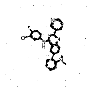 CN(C)c1ccccc1-c1ccc2nc(-c3cccnc3)nc(Nc3ccc(F)c(Cl)c3)c2c1